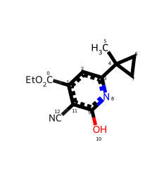 CCOC(=O)c1cc(C2(C)CC2)nc(O)c1C#N